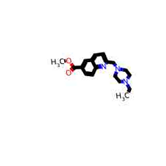 CCN1CCN(Cc2ccc3cc(C(=O)OC)ccc3n2)CC1